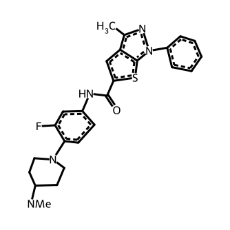 CNC1CCN(c2ccc(NC(=O)c3cc4c(C)nn(-c5ccccc5)c4s3)cc2F)CC1